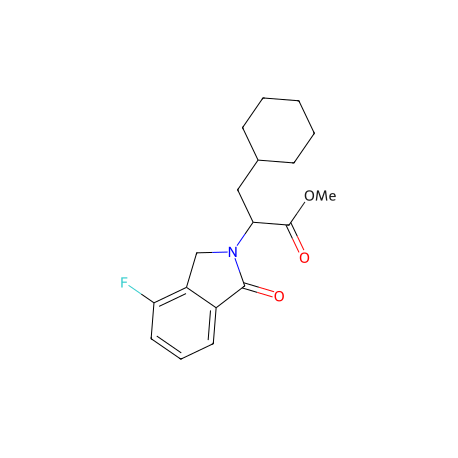 COC(=O)C(CC1CCCCC1)N1Cc2c(F)cccc2C1=O